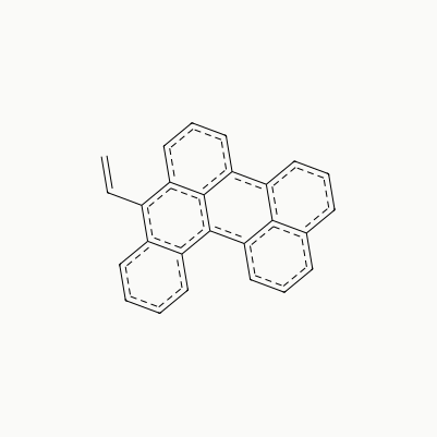 C=Cc1c2ccccc2c2c3cccc4cccc(c5cccc1c52)c43